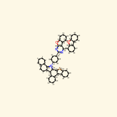 c1ccc2c(c1)ccc1c3c4ccccc4c4c5ccccc5sc4c3n(-c3ccc(-c4nc(-c5cccc6c5oc5ccccc56)c5c(n4)oc4ccccc45)cc3)c21